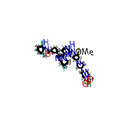 COc1cc(N2CCC(N3CCN(S(C)(=O)=O)CC3)CC2)ccc1Nc1nccc(-c2c(-c3cccc(C(=O)Nc4c(F)cccc4F)c3)nc3cc(F)ccn23)n1